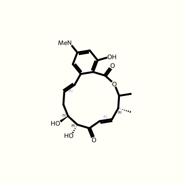 CNc1cc(O)c2c(c1)/C=C/C[C@H](O)[C@@H](O)C(=O)/C=C/[C@@H](C)C(C)OC2=O